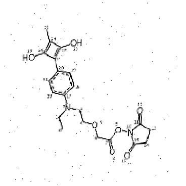 CCN(CCOCC(=O)ON1C(=O)CCC1=O)c1ccc(C2=C(O)C(C)=C2O)cc1